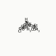 CCN1C(=O)C(C)(C)c2cc3[nH]c(-c4n[nH]c5ccc(NS(=O)(=O)c6cccc(Cl)c6)cc45)nc3cc21